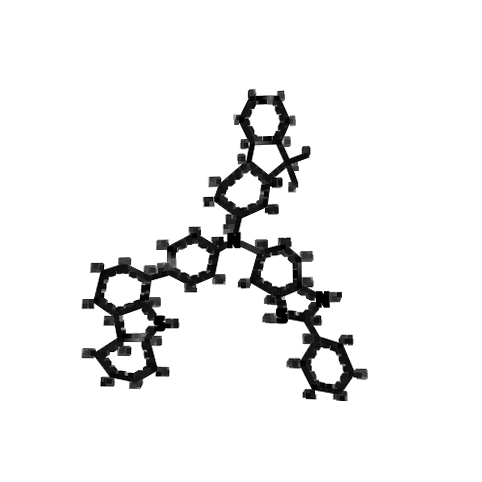 CC1(C)c2ccccc2-c2ccc(N(c3ccc(-c4cccc5c4sc4ccccc45)cc3)c3ccc4nc(-c5ccccc5)sc4c3)cc21